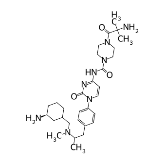 CC(Cc1ccc(-n2ccc(NC(=O)N3CCN(C(=O)C(C)(C)N)CC3)nc2=O)cc1)N(C)CC1CCC[C@H](N)C1